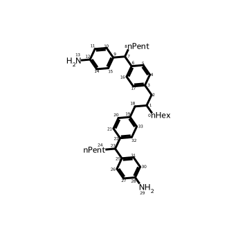 CCCCCCC(Cc1ccc(C(CCCCC)c2ccc(N)cc2)cc1)Cc1ccc(C(CCCCC)c2ccc(N)cc2)cc1